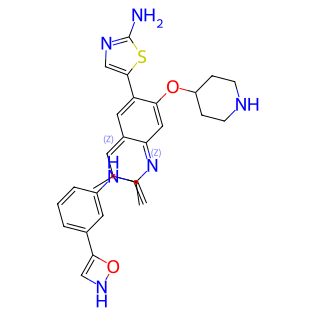 C=C(/N=C1/C=C(OC2CCNCC2)C(c2cnc(N)s2)=C/C1=C/C(C)CC)Nc1cccc(-c2c[nH]o2)c1